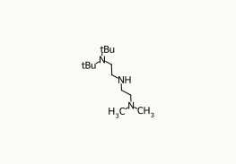 CN(C)CCNCCN(C(C)(C)C)C(C)(C)C